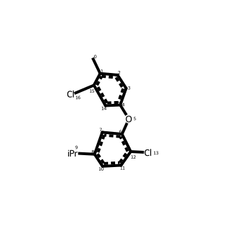 Cc1ccc(Oc2cc(C(C)C)ccc2Cl)cc1Cl